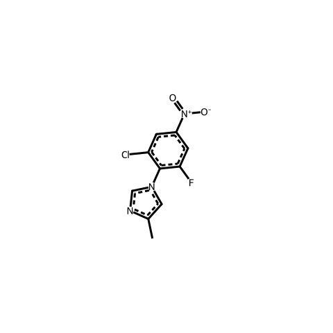 Cc1cn(-c2c(F)cc([N+](=O)[O-])cc2Cl)cn1